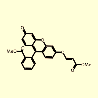 COC(=O)/C=C/Oc1ccc2c(-c3ccccc3C(=O)OC)c3ccc(=O)cc-3oc2c1